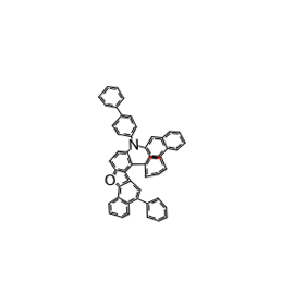 c1ccc(-c2ccc(N(c3ccc4ccccc4c3)c3ccc4oc5c6ccccc6c(-c6ccccc6)cc5c4c3-c3ccccc3)cc2)cc1